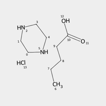 C1CNCCN1.CCCCC(=O)O.Cl